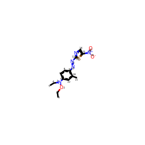 CCON(CC)c1ccc(N=Nc2ncc([N+](=O)[O-])s2)c(C)c1